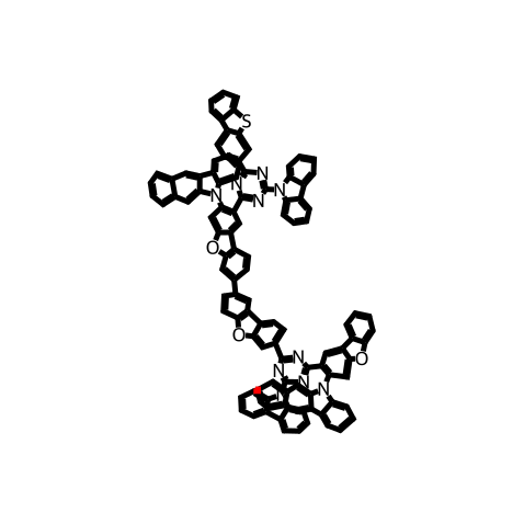 c1ccc2cc3c(cc2c1)c1ccccc1n3-c1cc2oc3ccccc3c2cc1-c1nc(-c2ccc3c(c2)oc2ccc(-c4ccc5c(c4)oc4cc(-n6c7ccccc7c7cc8ccccc8cc76)c(-c6nc(-c7ccc8c(c7)sc7ccccc78)nc(-n7c8ccccc8c8ccccc87)n6)cc45)cc23)nc(-n2c3ccccc3c3ccccc32)n1